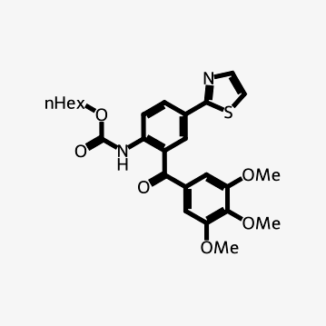 CCCCCCOC(=O)Nc1ccc(-c2nccs2)cc1C(=O)c1cc(OC)c(OC)c(OC)c1